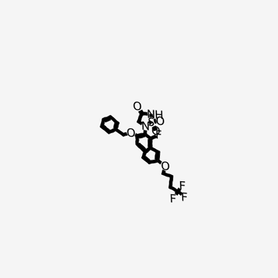 O=C1CN(c2c(OCc3ccccc3)cc3ccc(OCCCC(F)(F)F)cc3c2F)S(=O)(=O)N1